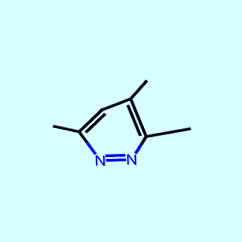 Cc1cc(C)c(C)nn1